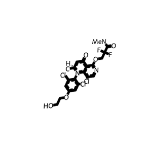 CNC(=O)C(F)(F)COc1ncc(Cl)c2c1c(=O)cc(C)n2-c1c(Cl)cc(OCCO)cc1Cl